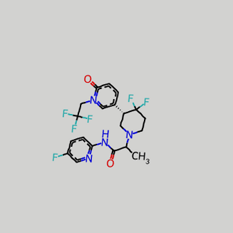 CC(C(=O)Nc1ccc(F)cn1)N1CCC(F)(F)[C@@H](c2ccc(=O)n(CC(F)(F)F)c2)C1